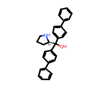 OC(c1ccc(-c2ccccc2)cc1)(c1ccc(-c2ccccc2)cc1)[C@H]1CCCN1